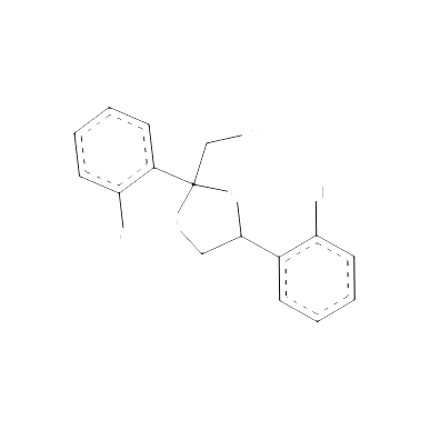 Clc1ccccc1C1COC(CBr)(c2ccccc2Cl)O1